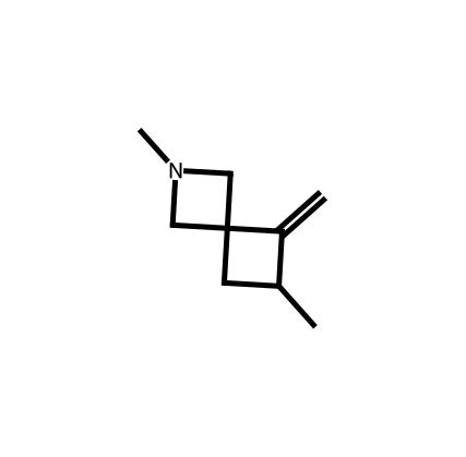 C=C1C(C)CC12CN(C)C2